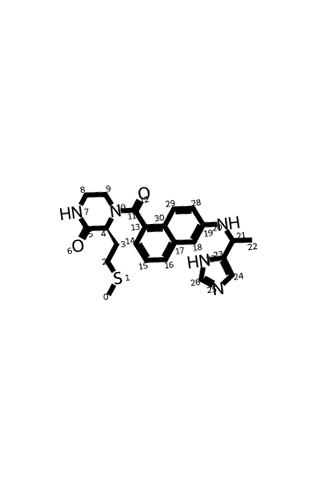 CSCC[C@H]1C(=O)NCCN1C(=O)c1cccc2cc(NC(C)c3cnc[nH]3)ccc12